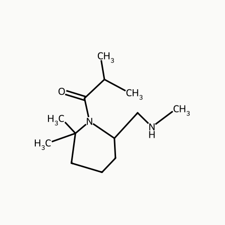 CNCC1CCCC(C)(C)N1C(=O)C(C)C